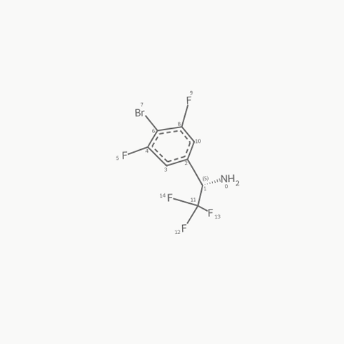 N[C@@H](c1cc(F)c(Br)c(F)c1)C(F)(F)F